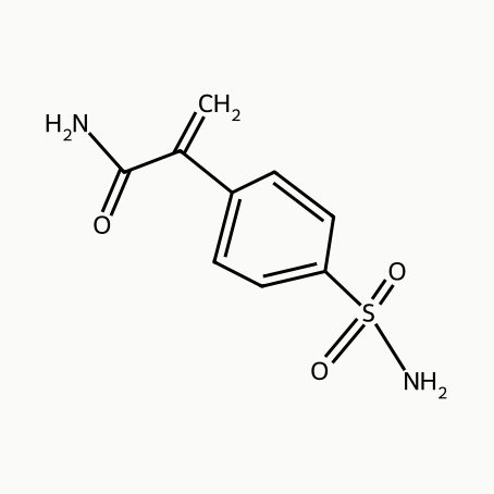 C=C(C(N)=O)c1ccc(S(N)(=O)=O)cc1